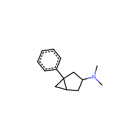 CN(C)C1CC2CC2(c2ccccc2)C1